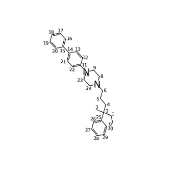 CCC(C)(CCCN1CCN(c2ccc(-c3ccccc3)cc2)CC1)c1ccccc1